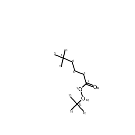 CC(C)(C)CCCC(=O)OOC(C)(C)C